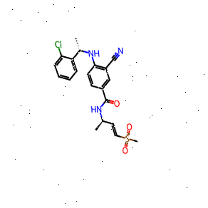 C[C@H](/C=C/S(C)(=O)=O)NC(=O)c1ccc(N[C@@H](C)c2ccccc2Cl)c(C#N)c1